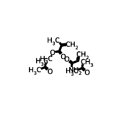 C=C(C)C(=O)OC.C=CC(N)=O.CC(C)=O.CC(C)=O